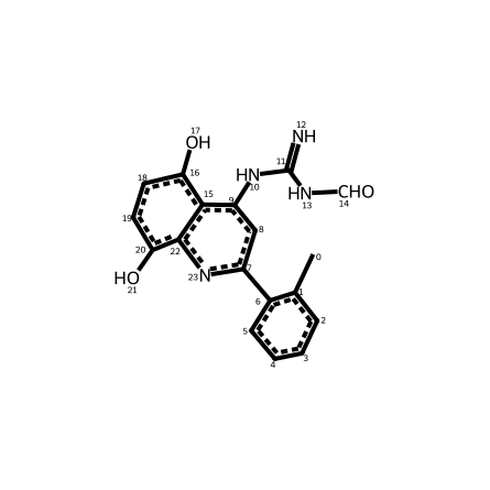 Cc1ccccc1-c1cc(NC(=N)NC=O)c2c(O)ccc(O)c2n1